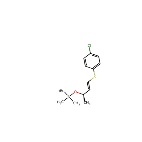 C[C@H](C=CSc1ccc(Cl)cc1)O[Si](C)(C)C(C)(C)C